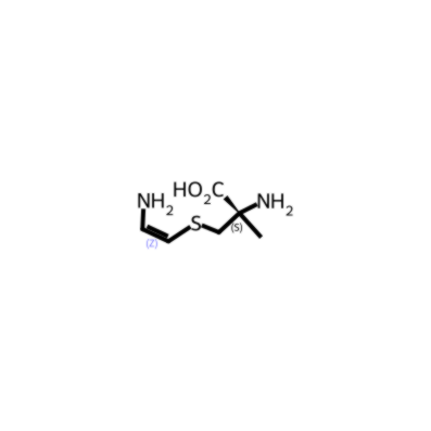 C[C@@](N)(CS/C=C\N)C(=O)O